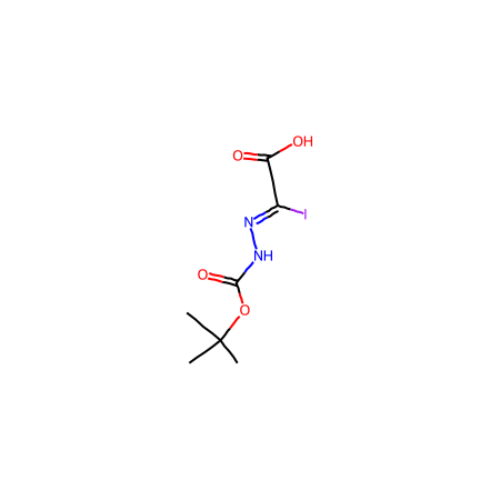 CC(C)(C)OC(=O)N/N=C(\I)C(=O)O